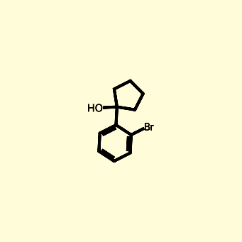 OC1(c2ccccc2Br)CCCC1